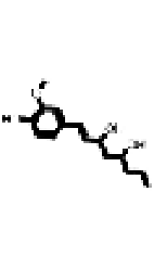 CCCC(O)CC(O)/C=C/c1ccc(O)c(OC)c1